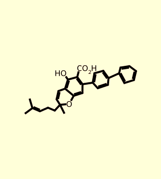 CC(C)=CCCC1(C)C=Cc2c(cc(-c3ccc(-c4ccccc4)cc3)c(C(=O)O)c2O)O1